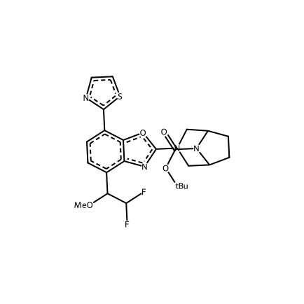 COC(c1ccc(-c2nccs2)c2oc(N3CC4CCC(C3)N4C(=O)OC(C)(C)C)nc12)C(F)F